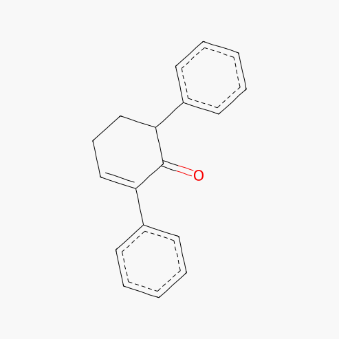 O=C1C(c2ccccc2)=CCCC1c1ccccc1